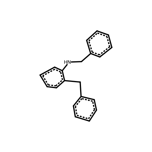 c1ccc(CNc2ccccc2Cc2ccccc2)cc1